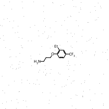 CCc1cc(C(F)(F)F)ccc1OCCCN